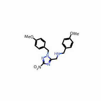 COc1ccc(CNCc2nc([N+](=O)[O-])nn2Cc2ccc(OC)cc2)cc1